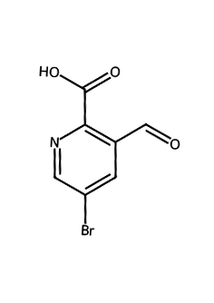 O=Cc1cc(Br)cnc1C(=O)O